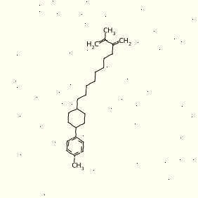 C=C(C)C(=C)CCCCCCCCC1CCC(c2ccc(C)cc2)CC1